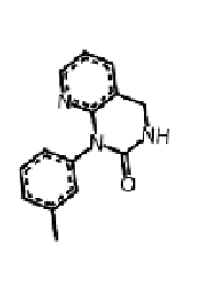 Cc1cccc(N2C(=O)NCc3cccnc32)c1